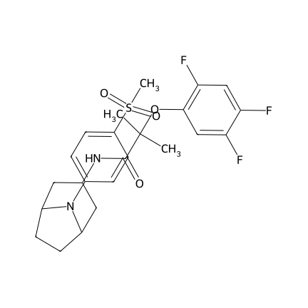 CC(C)(Oc1cc(F)c(F)cc1F)C(=O)NC1CC2CCC(C1)N2c1ccc(S(C)(=O)=O)cc1